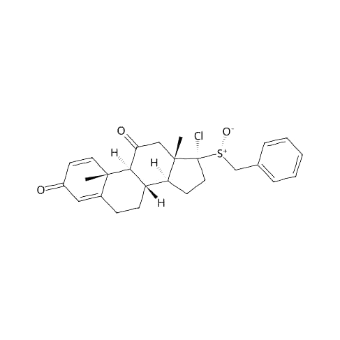 C[C@]12C=CC(=O)C=C1CC[C@@H]1[C@@H]2C(=O)C[C@@]2(C)[C@H]1CC[C@]2(Cl)[S@+]([O-])Cc1ccccc1